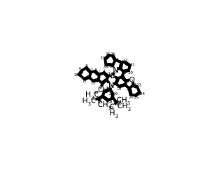 Cc1c2c(cc3cc4ccccc4cc13)B1c3c(cc4c(oc5ccccc54)c3-c3cccc4c5ccccc5n1c34)N2c1cc(C(C)(C)C)cc(C(C)(C)C)c1